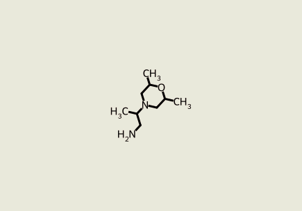 CC1CN(C(C)CN)CC(C)O1